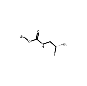 CCC(C)[C@H](I)CNC(=O)OC(C)(C)C